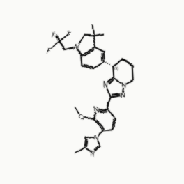 COc1nc(-c2nc3n(n2)CCC[C@H]3c2ccc3c(c2)C(C)(C)CN3CC(F)(F)F)ccc1-n1cnc(C)c1